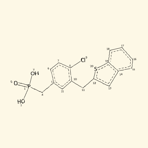 O=P(O)(O)Cc1ccc(Cl)c(Cc2cc3ccccc3s2)c1